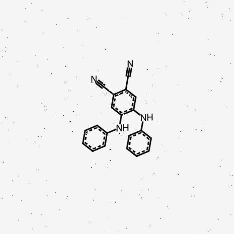 N#Cc1cc(Nc2ccccc2)c(Nc2ccccc2)cc1C#N